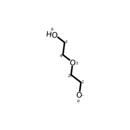 [O]C[CH]OCCO